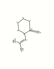 CCC(=CC1CCCCC1=O)CC